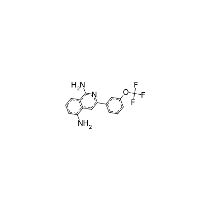 Nc1cccc2c(N)nc(-c3cccc(OC(F)(F)F)c3)cc12